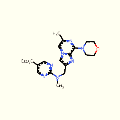 CCOC(=O)c1cnc(N(C)Cc2cn3cc(C)nc(N4CCOCC4)c3n2)nc1